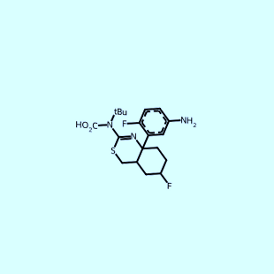 CC(C)(C)N(C(=O)O)C1=NC2(c3cc(N)ccc3F)CCC(F)CC2CS1